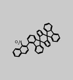 O=[N+]([O-])c1c(-c2cccc3c2-c2ccccc2C32c3ccccc3C3(c4ccccc4-c4ccccc43)c3ccccc32)ccc2ccccc12